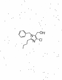 CCCCc1nc(Cl)c(CO)n1Cc1ccccc1